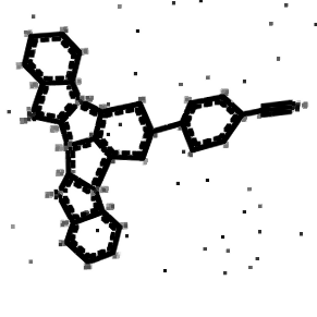 N#Cc1ccc(-c2cc3c4c(c2)n2c5ccccc5nc2n4c2nc4ccccc4n32)cc1